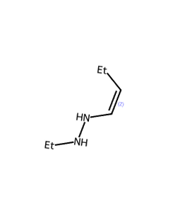 CC/C=C\NNCC